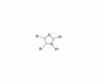 CC(C)n1c(Br)nc(Br)c1Br